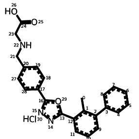 Cc1c(-c2ccccc2)cccc1-c1nnc(-c2ccc(CNCC(=O)O)cc2)o1.Cl